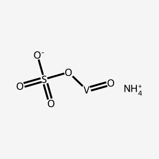 [NH4+].[O]=[V][O]S(=O)(=O)[O-]